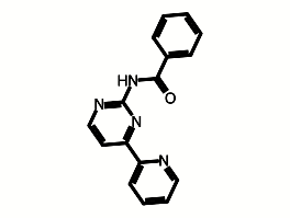 O=C(Nc1nccc(-c2ccccn2)n1)c1ccccc1